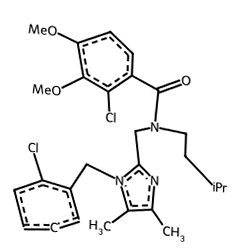 COc1ccc(C(=O)N(CCC(C)C)Cc2nc(C)c(C)n2Cc2ccccc2Cl)c(Cl)c1OC